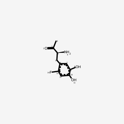 CC(=O)[C@@H](N)Cc1cc(O)c(O)cc1F